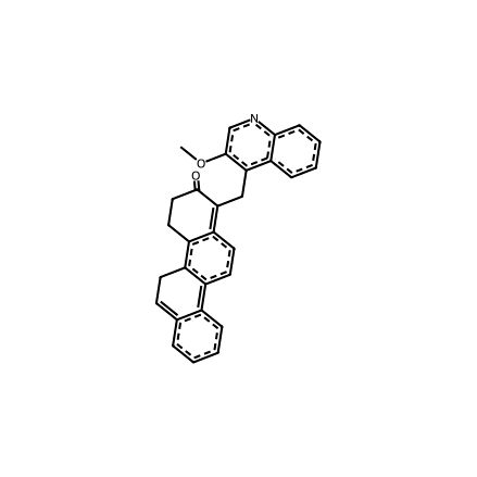 COc1cnc2ccccc2c1CC1=c2ccc3c(c2CCC1=O)CC=c1ccccc1=3